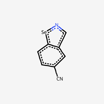 N#Cc1ccc2[se]ncc2c1